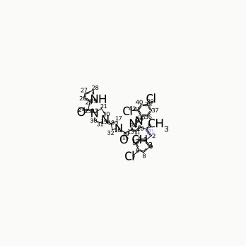 C/C(=C/c1ccc(Cl)cc1)c1c(C)c(C(=O)N2CC(N3CCN(C(=O)c4ccc[nH]4)CC3)C2)nn1-c1ccc(Cl)cc1Cl